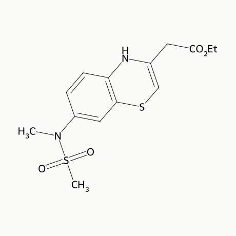 CCOC(=O)CC1=CSc2cc(N(C)S(C)(=O)=O)ccc2N1